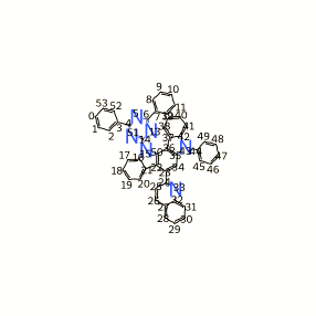 c1ccc(-c2nc(-c3ccccc3)nc(-n3c4ccccc4c4c(-c5ccc6ccccc6n5)cc5c(c6ccccc6n5-c5ccccc5)c43)n2)cc1